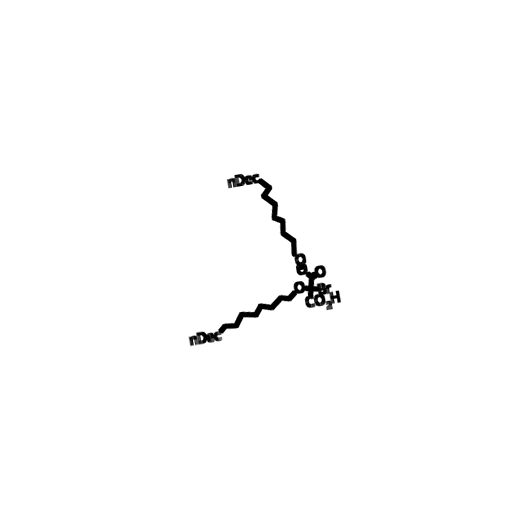 CCCCCCCCCCCCCCCCCCOOC(=O)C(Br)(OCCCCCCCCCCCCCCCCCC)C(=O)O